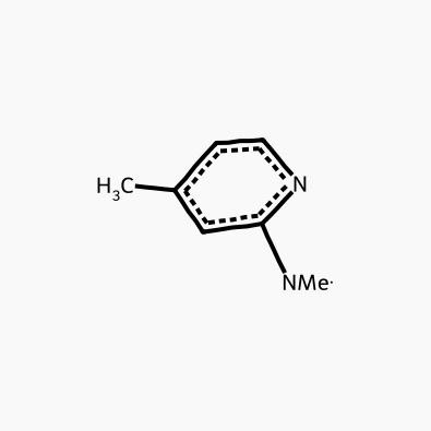 C[N]c1cc(C)ccn1